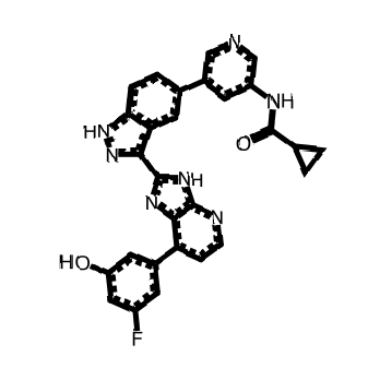 O=C(Nc1cncc(-c2ccc3[nH]nc(-c4nc5c(-c6cc(O)cc(F)c6)ccnc5[nH]4)c3c2)c1)C1CC1